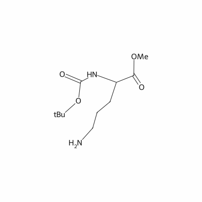 COC(=O)C(CCCN)NC(=O)OC(C)(C)C